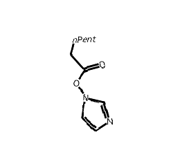 CCCCCCC(=O)On1ccnc1